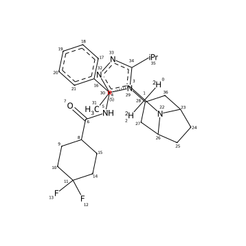 [2H]C([2H])(C[C@H](NC(=O)C1CCC(F)(F)CC1)c1ccccc1)N1C2CCC1CC(n1c(C)nnc1C(C)C)C2